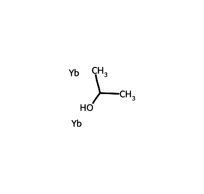 CC(C)O.[Yb].[Yb]